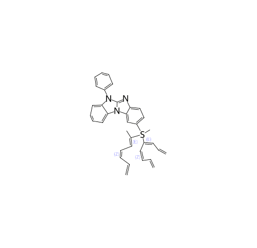 C=C/C=C\C=C(/C)S(C)(C(/C=C\C=C)=C/C=C)c1ccc2nc3n(-c4ccccc4)c4ccccc4n3c2c1